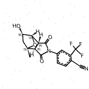 C[C@@]12C[C@@H](O)[C@@H](O1)[C@@H]1C(=O)N(c3ccc(C#N)c(C(F)(F)F)c3)C(=O)[C@H]12